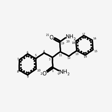 NC(=O)C(Cc1ccccc1)C(Cc1ccccc1)C(N)=O